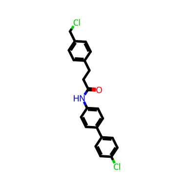 O=C(CCc1ccc(CCl)cc1)Nc1ccc(-c2ccc(Cl)cc2)cc1